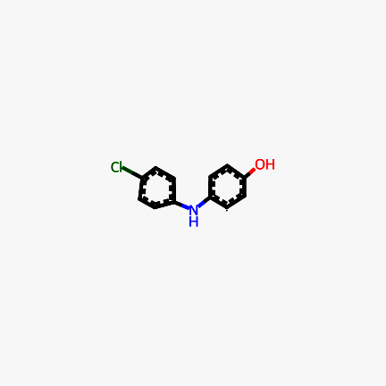 Oc1c[c]c(Nc2ccc(Cl)cc2)cc1